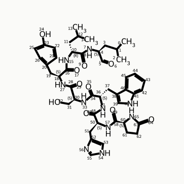 CC(C)C[C@@H]([C]=O)NC(=O)[C@@H](CC(C)C)NC(=O)[C@H](Cc1ccc(O)cc1)NC(=O)[C@H](CO)NC(=O)[C@H](Cc1c[nH]c2ccccc12)NC(=O)[C@H](Cc1c[nH]cn1)NC(=O)[C@@H]1CCC(=O)N1